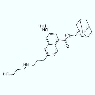 Cl.Cl.O=C(NCC12CC3CC(CC(C3)C1)C2)c1cccc2nc(CCCNCCCO)ccc12